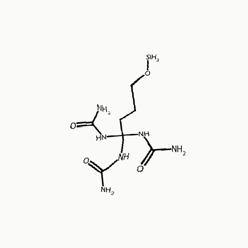 NC(=O)NC(CCCO[SiH3])(NC(N)=O)NC(N)=O